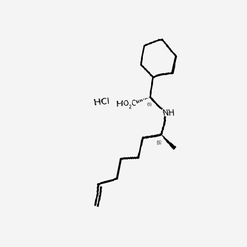 C=CCCCC[C@H](C)N[C@H](C(=O)O)C1CCCCC1.Cl